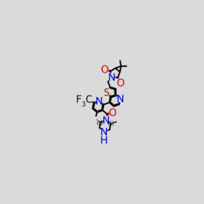 Cc1cc(C(F)(F)F)nc(-c2ccnc3cc(CN4C(=O)C5C(C4=O)C5(C)C)sc23)c1C(=O)N1[C@@H](C)CNC[C@@H]1C